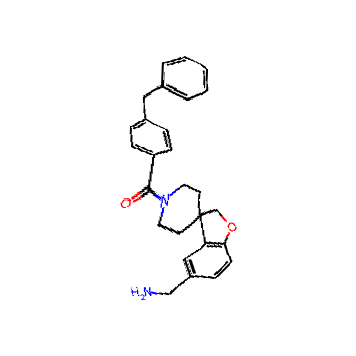 NCc1ccc2c(c1)C1(CCN(C(=O)c3ccc(Cc4ccccc4)cc3)CC1)CO2